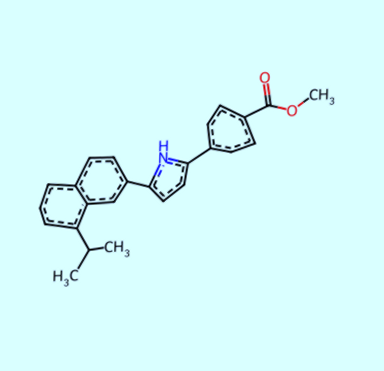 COC(=O)c1ccc(-c2ccc(-c3ccc4cccc(C(C)C)c4c3)[nH]2)cc1